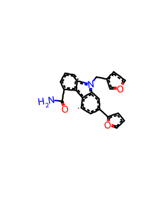 NC(=O)c1cccc2c1c1[c]cc(-c3ccco3)cc1n2Cc1ccoc1